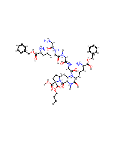 CCCCOC(=O)[C@@]1(C(=O)OC)CCCN1C(=O)CN(C)C(=O)[C@H](CCCC(N)C(=O)OCc1ccccc1)N(CCC)C(=O)CNC(=O)CN(C)C(=O)[C@H](CCCC(N)C(=O)OCc1ccccc1)NC(=O)CN